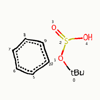 CC(C)(C)OS(=O)O.c1ccccc1